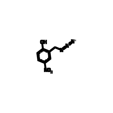 [N-]=[N+]=NCc1cc([N+](=O)[O-])ccc1O